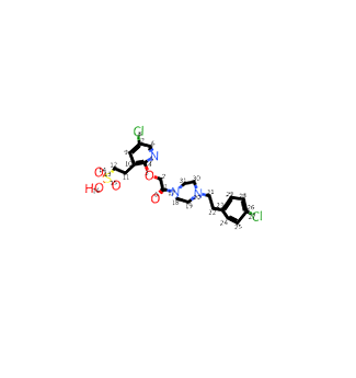 O=C(COc1ncc(Cl)cc1CCS(=O)(=O)O)N1CCN(CCc2ccc(Cl)cc2)CC1